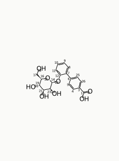 O=C(O)c1ccc(-c2ccccc2O[C@@H]2O[C@H](CO)[C@@H](O)[C@H](O)[C@@H]2O)cc1